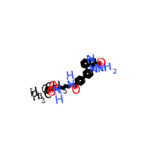 CC(C)(C)OC(=O)NCCCCNC(=O)c1ccc(-c2ccc(Nc3c(C(N)=O)cnc4ccccc34)cc2)cc1